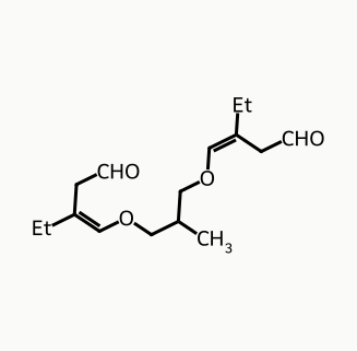 CCC(=COCC(C)COC=C(CC)CC=O)CC=O